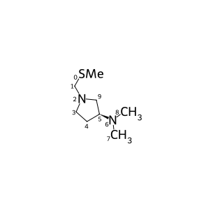 CSCN1CC[C@H](N(C)C)C1